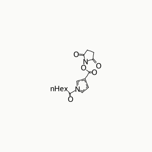 CCCCCCC(=O)n1ccc(C(=O)ON2C(=O)CCC2=O)c1